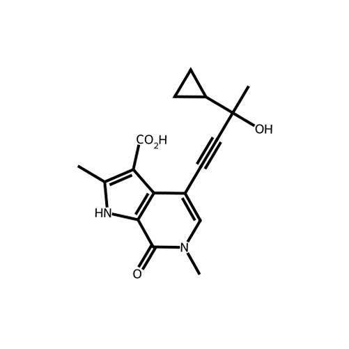 Cc1[nH]c2c(=O)n(C)cc(C#CC(C)(O)C3CC3)c2c1C(=O)O